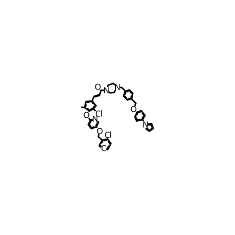 Cc1cc(C=CC(=O)N2CCN(Cc3ccc(COc4ccc(-n5cccc5)cc4)cc3)CC2)cc(Cl)c1Oc1ccc(OCc2ccccc2Cl)cn1